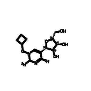 [2H]C1=NC([2H])N(OC2CCC2)C=C1[C@@H]1O[C@H](CO)[C@@H](O)[C@H]1O